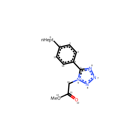 CCCCCCCc1ccc(-c2nnnn2CC(=O)OC)cc1